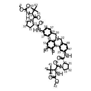 COC(=O)N[C@H](C(=O)N1CCC[C@H]1C(=O)Nc1ccc(CN(Cc2ccc(NC(=O)[C@@H]3CCCN3C(=O)[C@@H](NC(=O)OC)C(C)(C)C)cc2)c2ccc(F)c(F)c2)cc1)C(C)(C)C